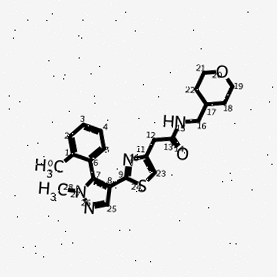 Cc1ccccc1-c1c(-c2nc(CC(=O)NCC3CCOCC3)cs2)cnn1C